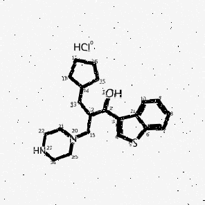 Cl.OC(c1csc2ccccc12)C(CC1CCCC1)CN1CCNCC1